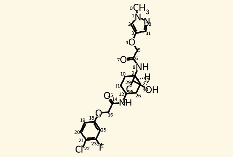 Cn1cc(OCC(=O)NC23CCC(NC(=O)COc4ccc(Cl)c(F)c4)(CC2)C[C@@H]3O)cn1